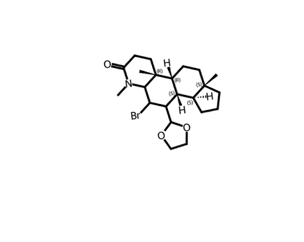 CN1C(=O)CC[C@@]2(C)C1C(Br)C(C1OCCO1)[C@@H]1[C@H]2CC[C@]2(C)CCC[C@@H]12